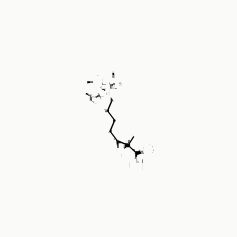 CO[Si](CCCCC1SC1(C)C(=O)O)(OC)OC